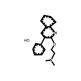 CN(C)CCOc1nc2ccccc2cc1-c1ccccc1.Cl